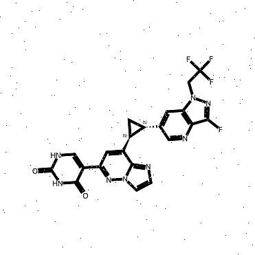 O=c1[nH]cc(-c2cc([C@H]3C[C@@H]3c3cnc4c(F)nn(CC(F)(F)F)c4c3)c3nccn3n2)c(=O)[nH]1